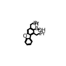 CC(C)Cc1cc2oc3ccccc3c2c(CC(C)C)c1BO